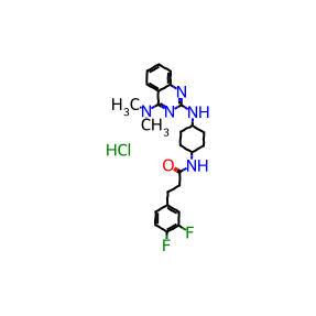 CN(C)c1nc(NC2CCC(NC(=O)CCc3ccc(F)c(F)c3)CC2)nc2ccccc12.Cl